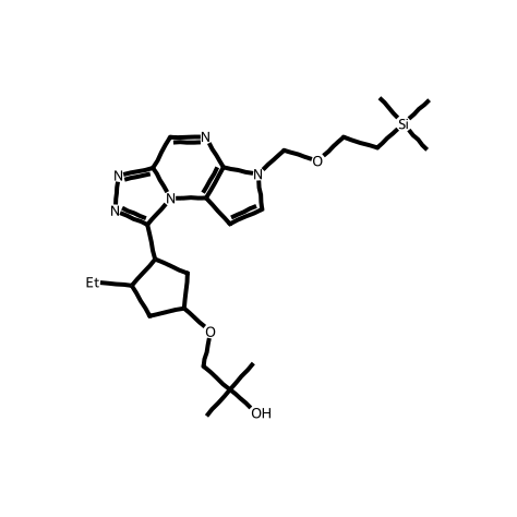 CCC1CC(OCC(C)(C)O)CC1c1nnc2cnc3c(ccn3COCC[Si](C)(C)C)n12